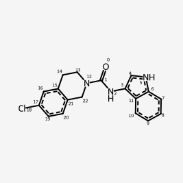 O=C(Nc1c[nH]c2ccccc12)N1CCc2cc(Cl)ccc2C1